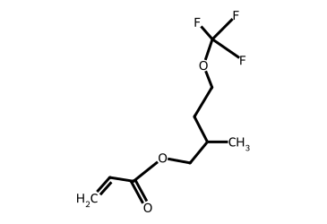 C=CC(=O)OCC(C)CCOC(F)(F)F